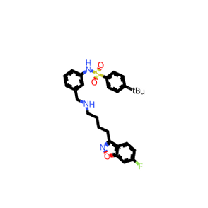 CC(C)(C)c1ccc(S(=O)(=O)Nc2cccc(CNCCCCc3noc4cc(F)ccc34)c2)cc1